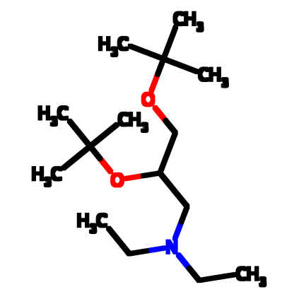 CCN(CC)CC(COC(C)(C)C)OC(C)(C)C